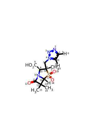 [2H]c1nnn(C[C@@]2(C)[C@H](C(=O)O)N3C(=O)C(C)(C)[C@H]3S2(=O)=O)c1[2H]